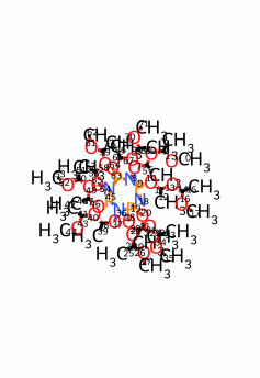 COC(C)OC(C)ON1P(OC(C)OC(C)OC)N=P(OC(C)OC(C)OC)(OC(C)OC(C)OC)N(OC(C)OC(C)OC)P(OC(C)OC(C)OC)N(OC(C)OC(C)OC)P1OC(C)OC(C)OC